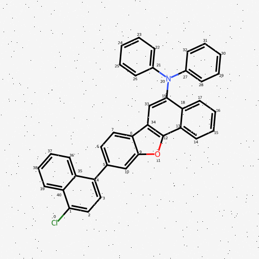 Clc1ccc(-c2ccc3c(c2)oc2c4ccccc4c(N(c4ccccc4)c4ccccc4)cc32)c2ccccc12